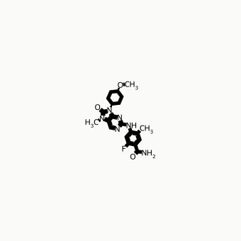 CO[C@H]1CC[C@@H](n2c(=O)n(C)c3cnc(Nc4cc(F)c(C(N)=O)cc4C)nc32)CC1